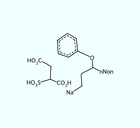 CCCCCCCCCC(C[CH2][Na])Oc1ccccc1.O=C(O)CC(C(=O)O)S(=O)(=O)O